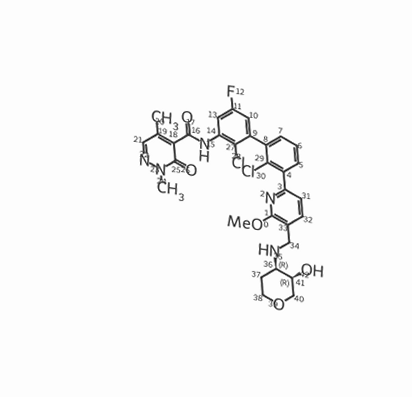 COc1nc(-c2cccc(-c3cc(F)cc(NC(=O)c4c(C)cnn(C)c4=O)c3Cl)c2Cl)ccc1CN[C@@H]1CCOC[C@@H]1O